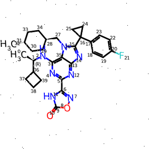 C[C@@H](Nc1nc(-c2noc(=O)[nH]2)nc2nc(C3(c4ccc(F)cc4)CC3)n(C[C@H]3CC[C@H](C)CC3)c12)C1CCC1